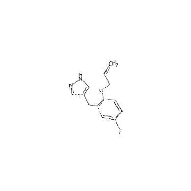 C=CCOc1ccc(F)cc1Cc1cn[nH]c1